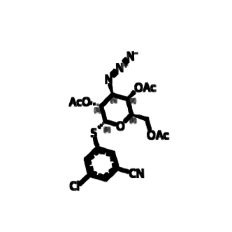 CC(=O)OC[C@H]1O[C@H](Sc2cc(Cl)cc(C#N)c2)[C@H](OC(C)=O)[C@@H](N=[N+]=[N-])[C@H]1OC(C)=O